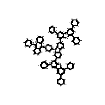 c1ccc(-c2cc(-c3ccccc3)c3sc4c(-c5ccc6c7ccc(-c8cc(-c9ccccc9)cc9c8sc8c(-c%10ccccc%10)cc(-c%10ccccc%10)cc89)cc7n(-c7ccc(-c8c9ccccc9c(-c9ccccc9)c9ccccc89)cc7)c6c5)cc(-c5ccccc5)cc4c3c2)cc1